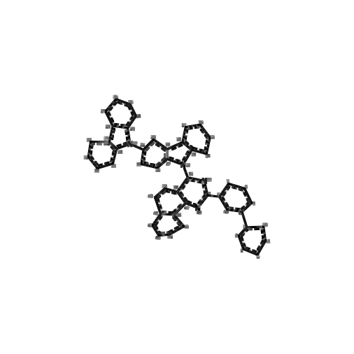 c1ccc(-c2cccc(-c3nc(-n4c5ccccc5c5cc(-n6c7ccccc7c7ccccc76)ccc54)c4ccc5ccccc5c4n3)c2)cc1